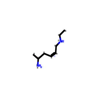 CCNC/C=C\CC(C)N